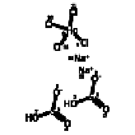 O=S([O-])O.O=S([O-])O.[Cl][Hg]([Cl])([Cl])[Cl].[Na+].[Na+]